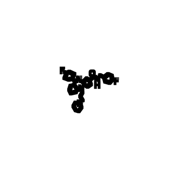 O=C(NCc1ccc(F)cc1)c1ccc2c(c1)N=C(c1ccc(F)cc1)C1C=CC=CC1N2CCCN1CCCCC1